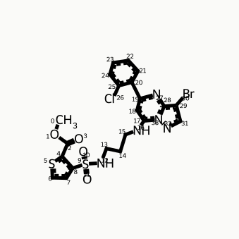 COC(=O)c1sccc1S(=O)(=O)NCCCNc1cc(-c2ccccc2Cl)nc2c(Br)cnn12